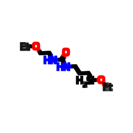 CCOCCNC(=O)NCCC[SiH2]OCC